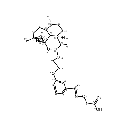 C/C(=N\OCC(=O)O)c1cccc(OCCO[C@H]2O[C@@H]3O[C@@]4(C)CCC5[C@H](C)CC[C@@H]([C@H]2C)[C@]53OO4)c1